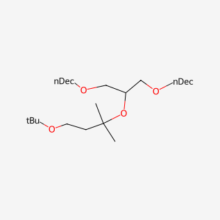 CCCCCCCCCCOCC(COCCCCCCCCCC)OC(C)(C)CCOC(C)(C)C